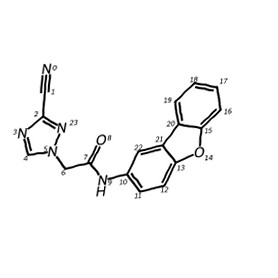 N#Cc1ncn(CC(=O)Nc2ccc3oc4ccccc4c3c2)n1